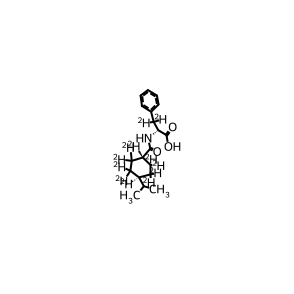 [2H]C([2H])(c1ccccc1)[C@@H](NC(=O)[C@]1([2H])C([2H])([2H])C([2H])([2H])[C@@]([2H])(C(C)C)C([2H])([2H])C1([2H])[2H])C(=O)O